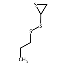 CCCSSC1CS1